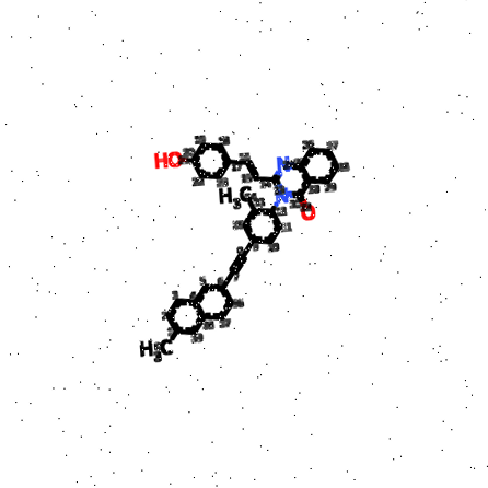 Cc1ccc2cc(C#Cc3ccc(-n4c(/C=C/c5ccc(O)cc5)nc5ccccc5c4=O)c(C)c3)ccc2c1